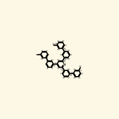 Cc1cccc(-c2cccc(-c3cc(-c4cccc(-c5cccc(C)c5)c4)nc(-c4cccc(-c5cccc(C)c5)c4)c3)c2)c1